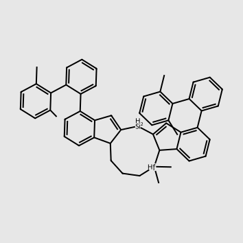 Cc1cccc(C)c1-c1ccccc1-c1cccc2c1C=C1[SiH2]C3=Cc4c(-c5ccccc5-c5c(C)cccc5C)cccc4[CH]3[Hf]([CH3])([CH3])[CH2]CCC12